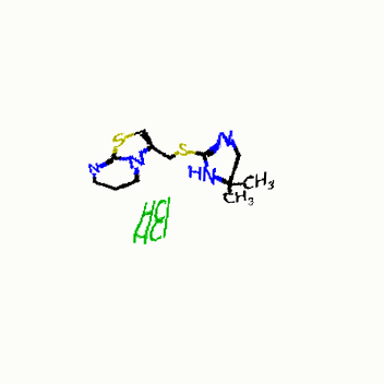 CC1(C)CN=C(SCC2=CSC3=NCCCN23)N1.Cl.Cl